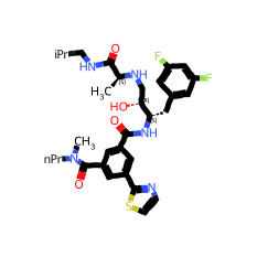 CCCN(C)C(=O)c1cc(C(=O)N[C@@H](Cc2cc(F)cc(F)c2)[C@H](O)CN[C@@H](C)C(=O)NCC(C)C)cc(-c2nccs2)c1